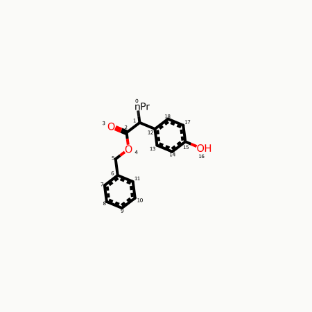 CCCC(C(=O)OCc1ccccc1)c1ccc(O)cc1